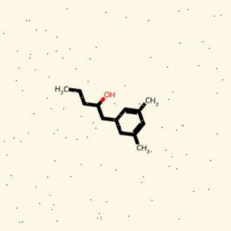 CCCC(O)CC1C=C(C)C=C(C)C1